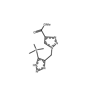 COC(=O)c1cn(Cc2nn[nH]c2S(C)(C)C)nn1